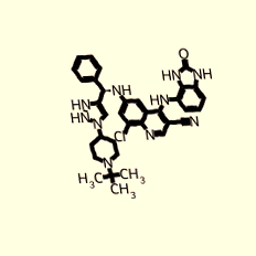 CC(C)(C)N1CCC(N2C=C([C@@H](Nc3cc(Cl)c4ncc(C#N)c(Nc5cccc6[nH]c(=O)[nH]c56)c4c3)c3ccccc3)NN2)CC1